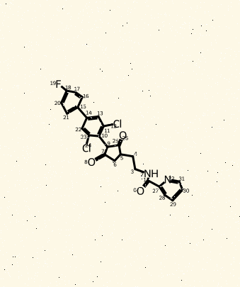 O=C(NCCC1CC(=O)C(c2c(Cl)cc(-c3ccc(F)cc3)cc2Cl)C1=O)c1ccccn1